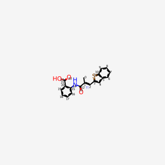 C/C(=C\c1cc2ccccc2s1)C(=O)Nc1ccccc1C(=O)O